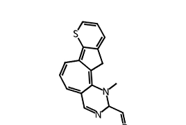 CN1C2=C3CC4=CC=CSC4=C3C=CC=C2C=NC1C=O